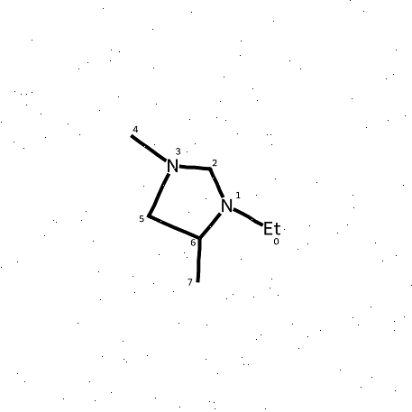 CCN1CN(C)CC1C